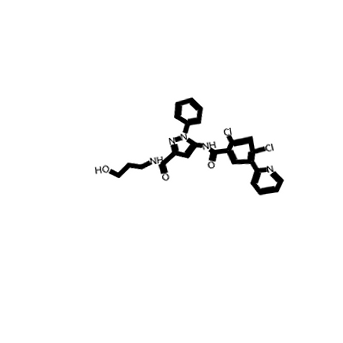 O=C(NCCCO)c1cc(NC(=O)c2cc(-c3ccccn3)c(Cl)cc2Cl)n(-c2ccccc2)n1